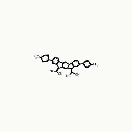 N#CC(C#N)=C1C2=CC3C(=C(C#N)C#N)c4cc(-c5ccc(C(F)(F)F)cc5)ccc4C3C=C2c2ccc(-c3ccc(C(F)(F)F)cc3)cc21